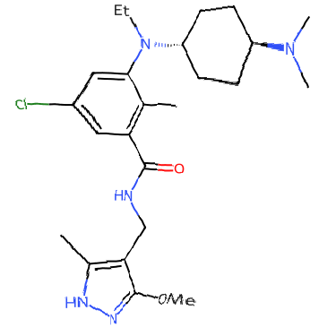 CCN(c1cc(Cl)cc(C(=O)NCc2c(OC)n[nH]c2C)c1C)[C@H]1CC[C@H](N(C)C)CC1